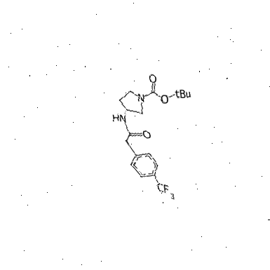 CC(C)(C)OC(=O)N1CC[C@@H](NC(=O)Cc2ccc(C(F)(F)F)cc2)C1